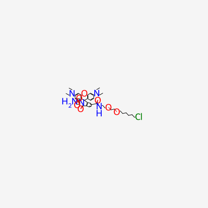 CCN(CC)c1ccc2c(c1)Oc1cc(N(CC)CC)ccc1C21c2cc(C(=O)NCCOCCOCCCCCCCl)ccc2C(=O)N1S(N)(=O)=O